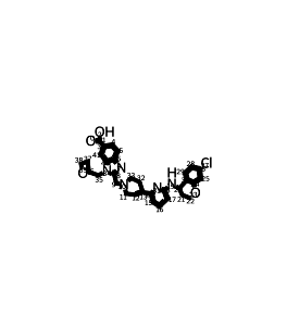 O=C(O)c1ccc2nc(CN3CC=C(c4cccc(NC5CCOc6cc(Cl)ccc65)n4)CC3)n(CC3CCO3)c2c1